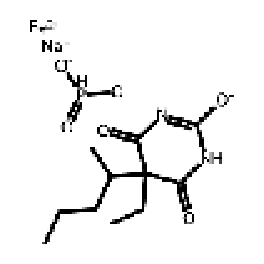 CCCC(C)C1(CC)C(=O)N=C([O-])NC1=O.O=[PH]([O-])[O-].[Fe+2].[Na+]